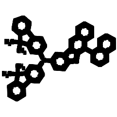 CC1(C)c2ccccc2-c2ccc(N(c3ccc4c(c3)C(C)(C)c3ccccc3-4)c3ccc4oc5c(-c6cccc7ccccc67)c6ccccc6cc5c4c3)cc21